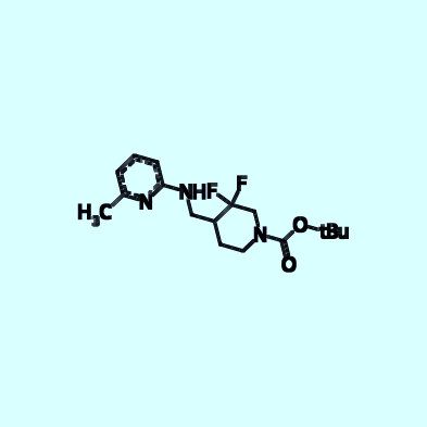 Cc1cccc(NCC2CCN(C(=O)OC(C)(C)C)CC2(F)F)n1